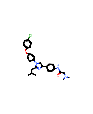 CC(C)CC1=NC(c2ccc(NC(=O)CN(C)C)cc2)CN1c1ccc(Oc2ccc(Cl)cc2)cc1